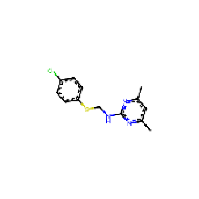 Cc1cc(C)nc(NCSc2ccc(Cl)cc2)n1